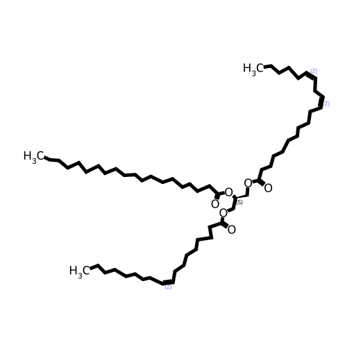 CCCCC/C=C\C/C=C\CCCCCCCCCC(=O)OC[C@@H](COC(=O)CCCCCCC/C=C\CCCCCCCC)OC(=O)CCCCCCCCCCCCCCCCCCC